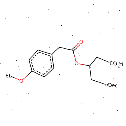 CCCCCCCCCCCC(CC(=O)O)OC(=O)Cc1ccc(OCC)cc1